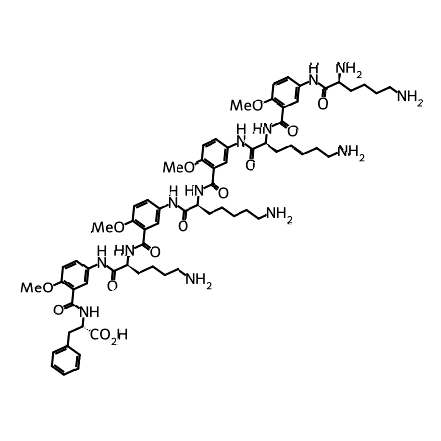 COc1ccc(NC(=O)[C@H](CCCCN)NC(=O)c2cc(NC(=O)[C@H](CCCCCN)NC(=O)c3cc(NC(=O)[C@H](CCCCCN)NC(=O)c4cc(NC(=O)[C@@H](N)CCCCN)ccc4OC)ccc3OC)ccc2OC)cc1C(=O)N[C@@H](Cc1ccccc1)C(=O)O